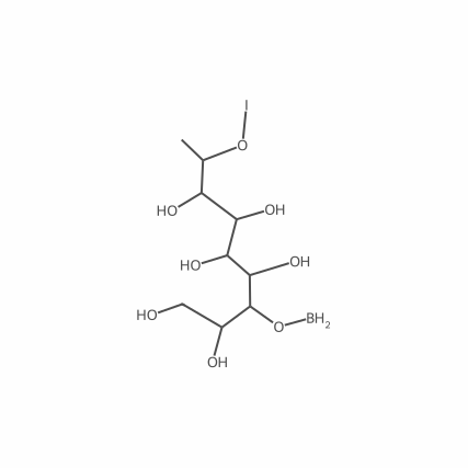 BOC(C(O)CO)C(O)C(O)C(O)C(O)C(C)OI